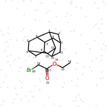 C1C2CC3C4CC5CC(C14)C(C2)C3C5.CCOC(=O)CBr